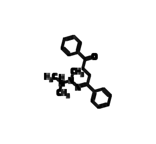 CN(N=C(CCC(=O)c1ccccc1)c1ccccc1)[SiH](C)C